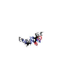 CCCC(C)(CNC(=O)c1noc(CC)c1C)CN(C)CC